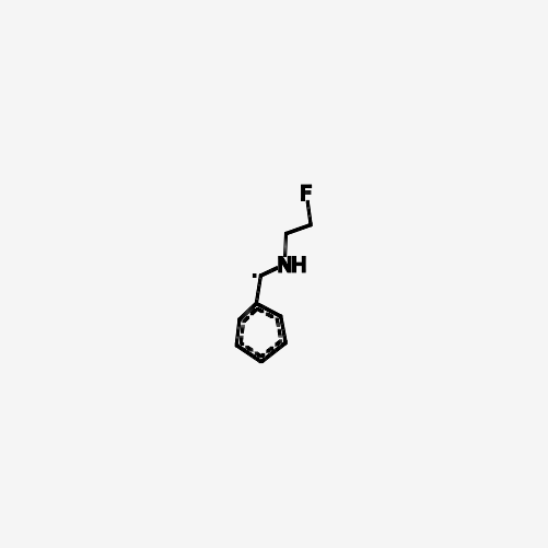 FCCN[CH]c1ccccc1